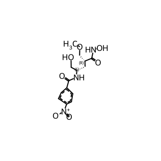 COC[C@@H](C[C@@H](CO)NC(=O)c1ccc([N+](=O)[O-])cc1)C(=O)NO